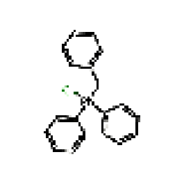 [Cl][Pb]([CH2]c1ccccc1)([c]1ccccc1)[c]1ccccc1